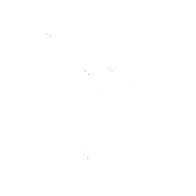 Cn1c(N2CCOC(c3ccccc3-c3ccncc3)C2)nc(-c2ccncc2)cc1=O